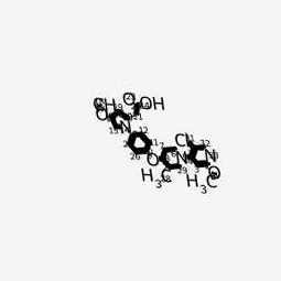 COc1cc(N2CCC(Oc3ccc(N4C[C@H](OC)C[C@@H]4CC(=O)O)cc3)C(C)C2)c(Cl)cn1